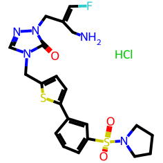 Cl.NC/C(=C\F)Cn1ncn(Cc2ccc(-c3cccc(S(=O)(=O)N4CCCC4)c3)s2)c1=O